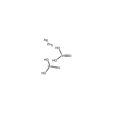 [Ag].[O]=[Sn]([OH])[OH].[O]=[Sn]([OH])[OH].[Ti].[Zn]